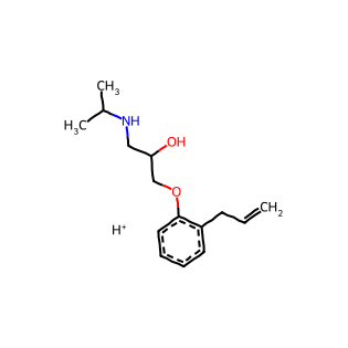 C=CCc1ccccc1OCC(O)CNC(C)C.[H+]